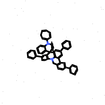 C1=CCC=C(N2c3ccccc3C3(c4cc(-c5ccccc5)ccc4N4Cc5ccc(-c6ccccc6)cc5-c5cc(-c6ccccc6)cc3c54)c3ccccc32)C=C1